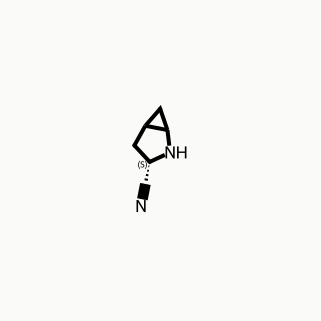 N#C[C@@H]1CC2CC2N1